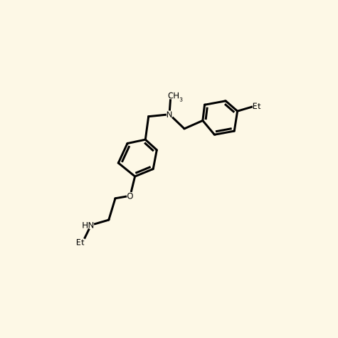 CCNCCOc1ccc(CN(C)Cc2ccc(CC)cc2)cc1